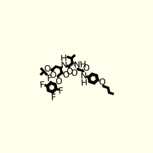 CCCCOc1ccc(NC(=O)C(=O)N[C@H](C(=O)NC(CC(=O)OC(C)(C)C)C(=O)COc2c(F)c(F)cc(F)c2F)C(C)C)cc1